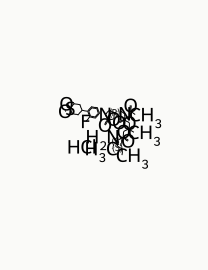 CC[C@H](C)[C@H](N)C(=O)OC(C)OC(=O)N(C[C@H]1CN(c2ccc(C3CCS(=O)(=O)CC3)c(F)c2)C(=O)O1)C(C)=O.Cl